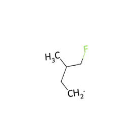 [CH2]CC(C)CF